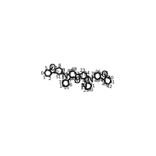 c1ccc2c(c1)oc1ccc(-n3c4ccccc4c4c5oc6c(ccc7c6c6ncccc6n7-c6ccc7oc8ccccc8c7c6)c5ccc43)cc12